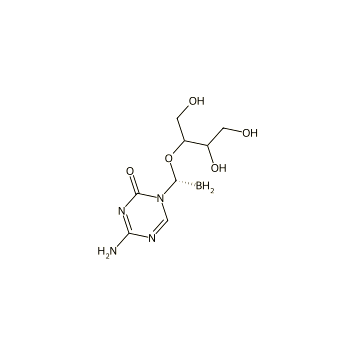 B[C@@H](OC(CO)C(O)CO)n1cnc(N)nc1=O